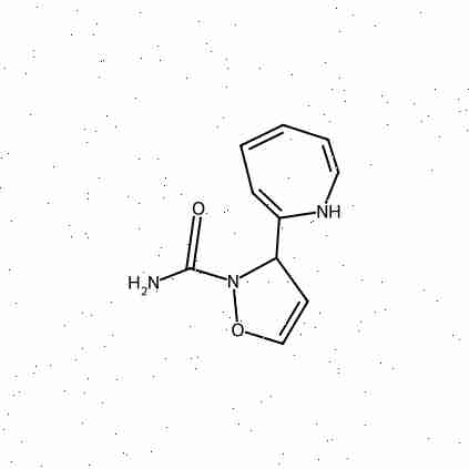 NC(=O)N1OC=CC1C1=CC=CC=CN1